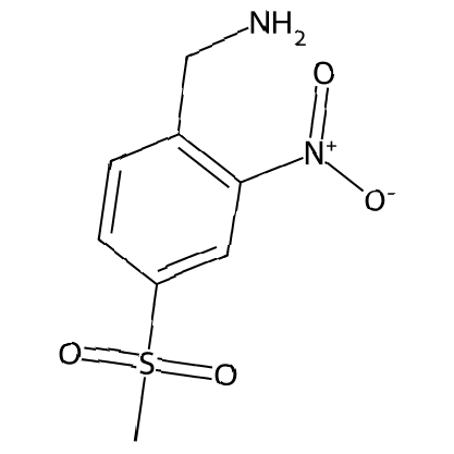 CS(=O)(=O)c1ccc(CN)c([N+](=O)[O-])c1